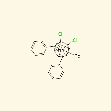 Cl[C]12[C]3(Cl)[C]4(c5ccccc5)[C]5(c6ccccc6)[C]1([Pd])[Fe]23451678[CH]2[CH]1[CH]6[CH]7[CH]28